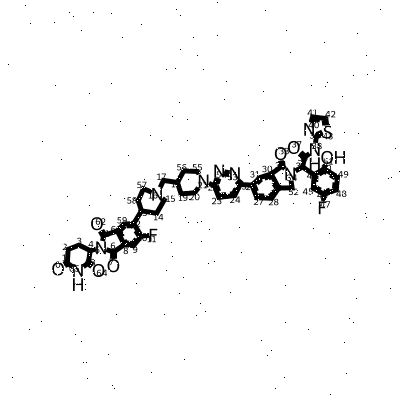 O=C1CCC(N2C(=O)c3cc(F)c(C4CCN(CC5CCN(c6ccc(-c7ccc8c(c7)C(=O)N(C(C(=O)Nc7nccs7)c7cc(F)ccc7O)C8)nn6)CC5)CC4)cc3C2=O)C(=O)N1